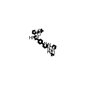 CC(C)(C)OC(=O)N1CCC[C@H]1c1nc(-c2ccc(-c3ccc4[nH]c([C@@H]5CCCN5C(=O)OC(C)(C)C)nc4n3)cc2)c[nH]1